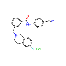 Cl.N#Cc1ccc(NC(=O)c2cccc(CN3CCc4cc(F)ccc4C3)c2)cc1